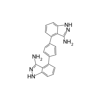 Nc1n[nH]c2cccc(-c3ccc(-c4cccc5[nH]nc(N)c45)cc3)c12